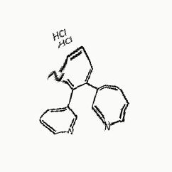 Cl.Cl.c1cncc(-c2cccnc2-c2cccnc2)c1